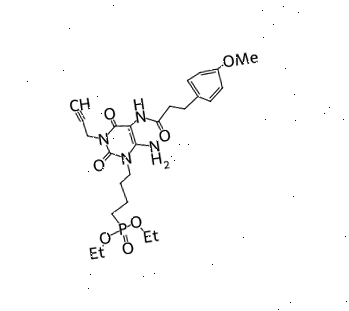 C#CCn1c(=O)c(NC(=O)CCc2ccc(OC)cc2)c(N)n(CCCCP(=O)(OCC)OCC)c1=O